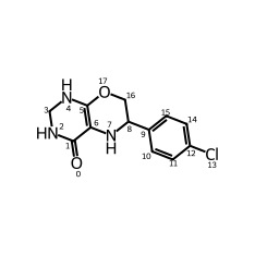 O=C1NCNC2=C1NC(c1ccc(Cl)cc1)CO2